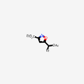 CCOC(=O)c1cc(C(CC)OC(C)=O)on1